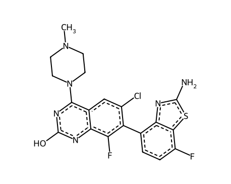 CN1CCN(c2nc(O)nc3c(F)c(-c4ccc(F)c5sc(N)nc45)c(Cl)cc23)CC1